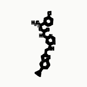 C[C@@H](OC(=O)Nc1cc(NCc2cn3cc(C4CC4)ccc3n2)ncn1)c1cccc(Cl)c1